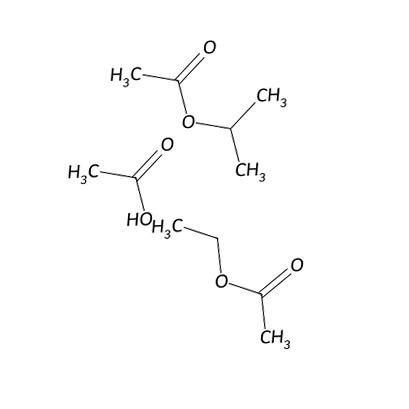 CC(=O)O.CC(=O)OC(C)C.CCOC(C)=O